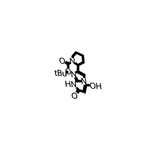 CC(C)(C)OC(=O)N1CCCCC1c1cn2c(O)cc(=O)[nH]c2n1